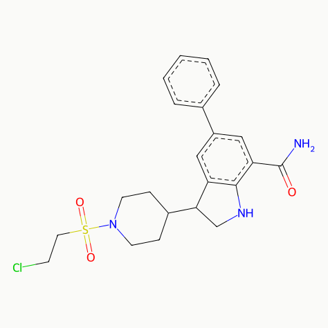 NC(=O)c1cc(-c2ccccc2)cc2c1NCC2C1CCN(S(=O)(=O)CCCl)CC1